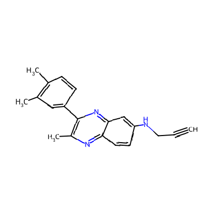 C#CCNc1ccc2nc(C)c(-c3ccc(C)c(C)c3)nc2c1